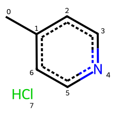 Cc1ccncc1.Cl